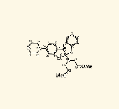 CCC(Cc1ccccc1)(C(=O)c1ccc(N2CCOCC2)cc1)N(CCOC)CCOC